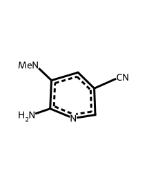 CNc1cc(C#N)cnc1N